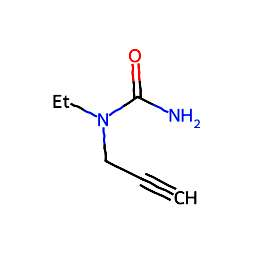 C#CCN(CC)C(N)=O